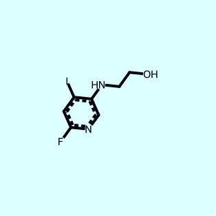 OCCNc1cnc(F)cc1I